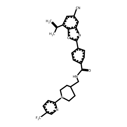 C=C(C)c1cc(C#N)cc2nc(-c3ccc(C(=O)NCC4CCN(c5ccc(C(F)(F)F)cn5)CC4)cc3)oc12